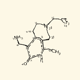 Cc1[nH]c(=O)c(CN)c2c1CN(CC(F)(F)F)CC2